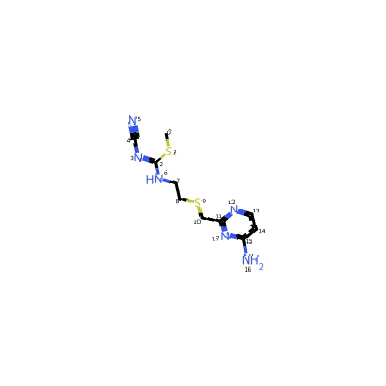 CSC(=NC#N)NCCSCc1nccc(N)n1